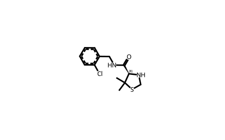 CC1(C)SCN[C@@H]1C(=O)NCc1ccccc1Cl